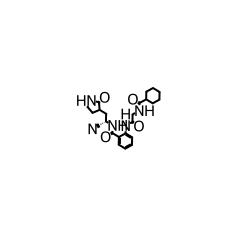 N#C[C@H](CC1CCNC1=O)NC(=O)c1ccccc1NC(=O)CNC(=O)C1CCCCC1